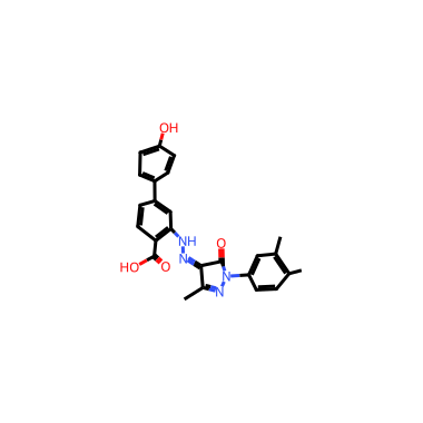 CC1=NN(c2ccc(C)c(C)c2)C(=O)C1=NNc1cc(-c2ccc(O)cc2)ccc1C(=O)O